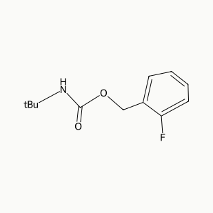 CC(C)(C)NC(=O)OCc1ccccc1F